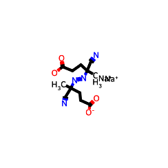 CC(C#N)(CCC(=O)[O-])N=NC(C)(C#N)CCC(=O)[O-].[Na+].[Na+]